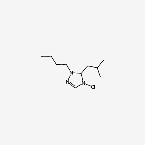 CCCCN1N=CN(Cl)C1CC(C)C